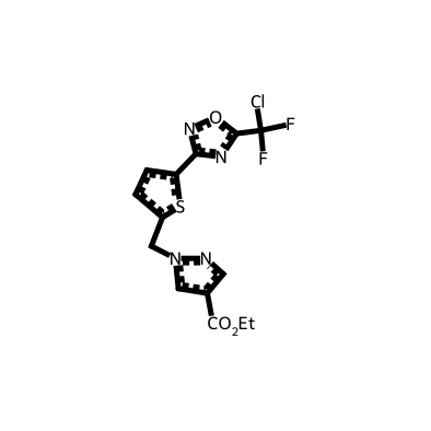 CCOC(=O)c1cnn(Cc2ccc(-c3noc(C(F)(F)Cl)n3)s2)c1